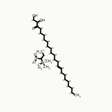 CCC(P(=O)=O)[N+](C)(C)C.CCCCCCCCC=CCCCCCCCCCCCC(=O)C(O)CO